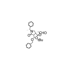 C[C@H](c1ccccc1)N1C[C@@](CC=O)(C(=O)OC(C)(C)C)[C@@H](COCc2ccccc2)C1=O